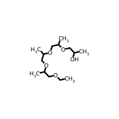 CCOCC(C)OCC(C)OCC(C)OCC(C)O